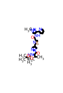 CC(C)C(NC(=O)OC(C)(C)C)C(=O)n1cc(-c2nc(C(=O)Nc3cn(C)nc3-c3ccccn3)cs2)cn1